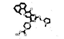 Cc1cccc2cccc(-c3ncc4c(N5CCN(C(=O)OC(C)(C)C)CC5)nc(OC[C@@H]5CCCN5C)nc4c3Cl)c12